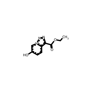 CCOC(=O)c1nnn2cc(O)ccc12